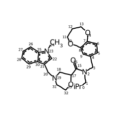 CC(C)CN(Cc1ccc2c(c1)OCCCO2)C(=O)C1CN(Cc2cn(C)c3ccccc23)CCO1